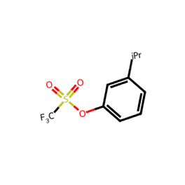 CC(C)c1cccc(OS(=O)(=O)C(F)(F)F)c1